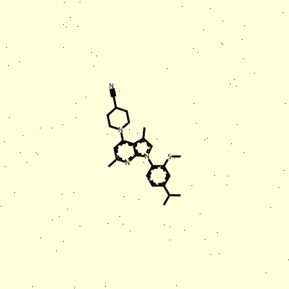 CSc1cc(C(C)C)ccc1-n1cc(C)c2c(N3CCC(C#N)CC3)cc(C)nc21